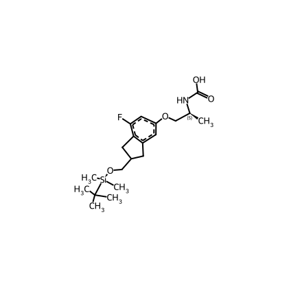 C[C@@H](COc1cc(F)c2c(c1)CC(CO[Si](C)(C)C(C)(C)C)C2)NC(=O)O